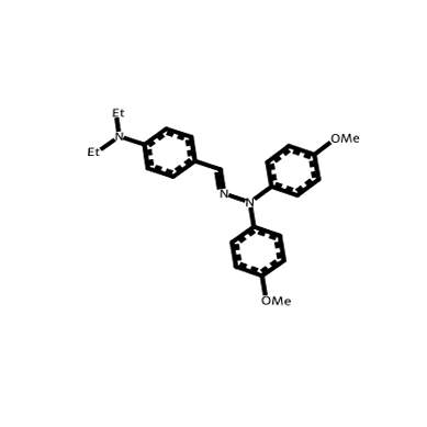 CCN(CC)c1ccc(C=NN(c2ccc(OC)cc2)c2ccc(OC)cc2)cc1